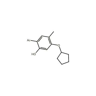 CC(=O)c1cc(C)c(OC2CCCC2)cc1O